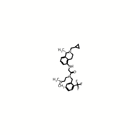 C[C@H]1c2cccc(NCC(=O)N(CCN(C)C)Cc3ccccc3C(F)(F)F)c2CCN1CC1CC1